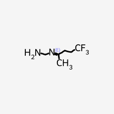 C/C(CCC(F)(F)F)=N\CN